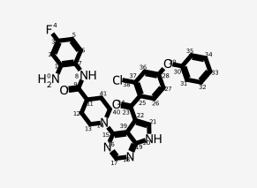 Nc1cc(F)ccc1NC(=O)C1CCN(c2ncnc3[nH]cc(C(=O)c4ccc(Oc5ccccc5)cc4Cl)c23)CC1